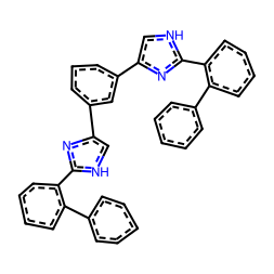 c1ccc(-c2ccccc2-c2nc(-c3cccc(-c4c[nH]c(-c5ccccc5-c5ccccc5)n4)c3)c[nH]2)cc1